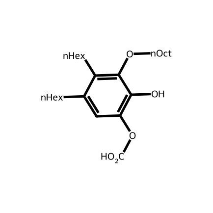 CCCCCCCCOc1c(O)c(OC(=O)O)cc(CCCCCC)c1CCCCCC